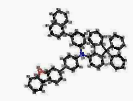 c1ccc(C2(c3ccccc3)c3ccccc3-c3c(N(c4ccc(-c5ccc6c(c5)oc5ccccc56)cc4)c4cccc(-c5cccc6ccccc56)c4)cccc32)cc1